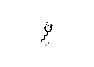 O=C(O)CCCCC1CCNNCC1